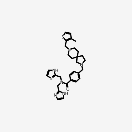 Cc1ccsc1CN1CCC2(CC1)CCN(Cc1ccc(C(=O)N(Cc3ncc[nH]3)Cc3ncc[nH]3)cc1)C2